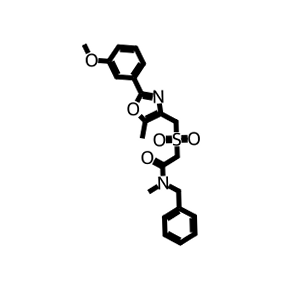 COc1cccc(-c2nc(CS(=O)(=O)CC(=O)N(C)Cc3ccccc3)c(C)o2)c1